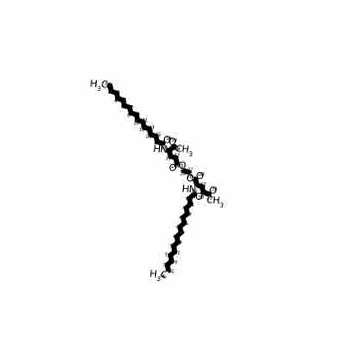 CCCCCCCCCCCCCCCCCC(=O)NC(CCC(=O)OCCOC(=O)C(CCC(C)=O)NC(=O)CCCCCCCCCCCCCCCCC)C(C)=O